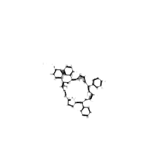 Nc1ccc(C2=CC3=CC4=NC(=C(c5ccccc5)C5=NC(=C(c6ccccc6)C6=NC(=C(c7ccccc7)C2=N3)C=C6)C=C5)C=C4)cc1